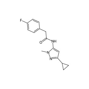 Cn1nc(C2CC2)cc1NC(=O)Cc1ccc(F)cc1